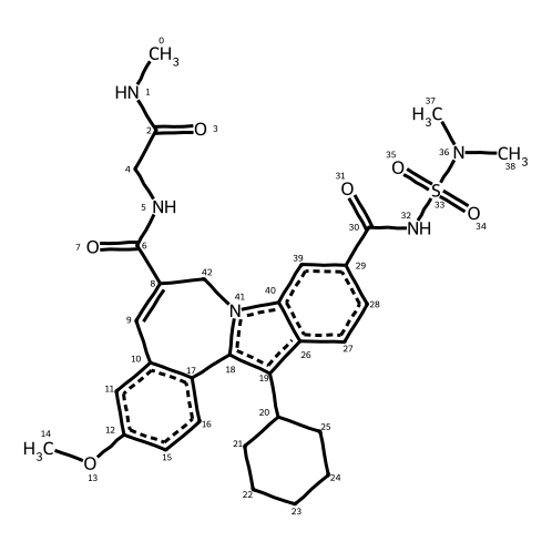 CNC(=O)CNC(=O)C1=Cc2cc(OC)ccc2-c2c(C3CCCCC3)c3ccc(C(=O)NS(=O)(=O)N(C)C)cc3n2C1